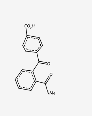 CNC(=O)c1ccccc1C(=O)c1ccc(C(=O)O)cc1